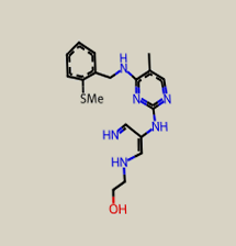 CSc1ccccc1CNc1nc(N/C(C=N)=C/NCCO)ncc1C